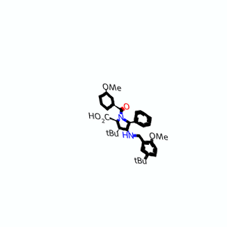 COc1ccc(C(C)(C)C)cc1CN[C@H]1[C@H](C(C)(C)C)[C@@H](C(=O)O)N(C(=O)[C@H]2CCC[C@H](OC)C2)[C@H]1c1ccccc1